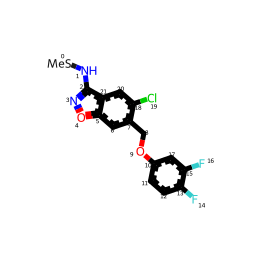 CSNc1noc2cc(COc3ccc(F)c(F)c3)c(Cl)cc12